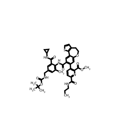 CCCNC(=O)c1ccc(-c2cc3c(cc2C(=O)Nc2c(C)cc(CNC(=O)OC(C)(C)C)cc2C(=O)NC2CC2)-c2sccc2CCO3)c(C(=O)OC)n1